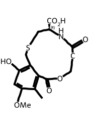 COc1cc(O)c2c(c1C)C(=O)OCCC(=O)N[C@H](C(=O)O)CSC2